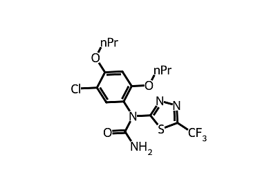 CCCOc1cc(OCCC)c(N(C(N)=O)c2nnc(C(F)(F)F)s2)cc1Cl